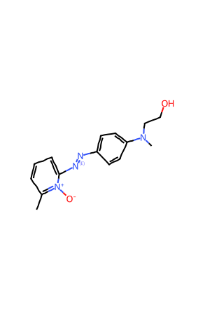 Cc1cccc(/N=N/c2ccc(N(C)CCO)cc2)[n+]1[O-]